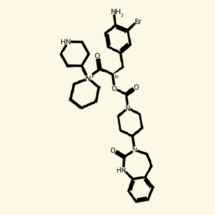 Nc1ccc(C[C@@H](OC(=O)N2CCC(N3CCc4ccccc4NC3=O)CC2)C(=O)[N+]2(C3CCNCC3)CCCCC2)cc1Br